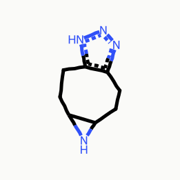 C1CC2NC2CCc2[nH]nnc21